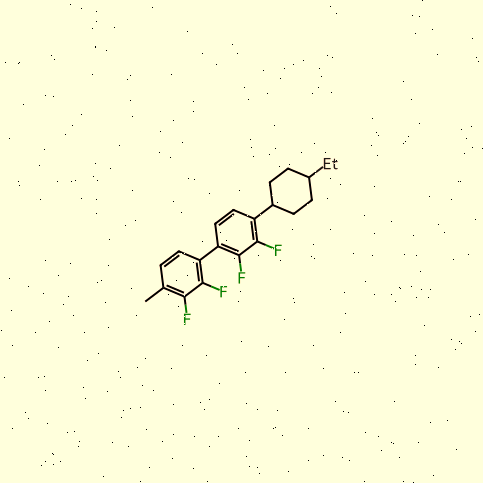 CCC1CCC(c2ccc(-c3ccc(C)c(F)c3F)c(F)c2F)CC1